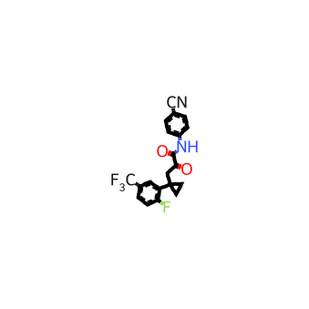 N#Cc1ccc(NC(=O)C(=O)CC2(c3cc(C(F)(F)F)ccc3F)CC2)cc1